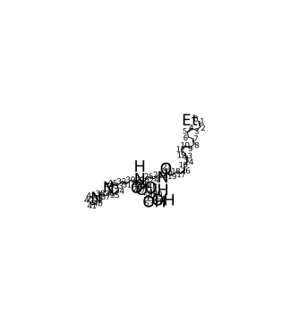 CC/C=C\C/C=C\C/C=C\C/C=C\C/C=C\C/C=C\CCC(=O)NCCC[C@H](NC(=O)C/C=C/c1ccc(CCN2CCCC2)nc1)C(=O)OC(CO)CO